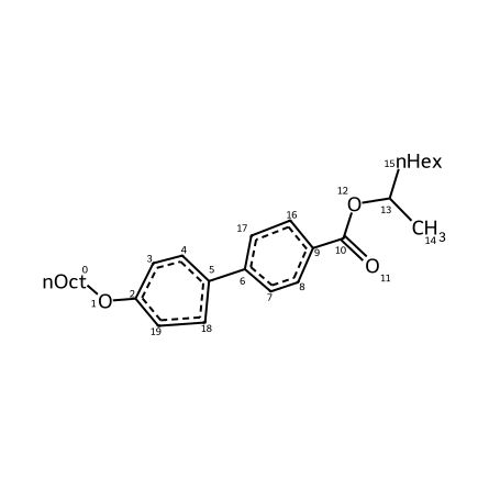 CCCCCCCCOc1ccc(-c2ccc(C(=O)OC(C)CCCCCC)cc2)cc1